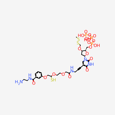 CSSCOC1C[C@H](n2cc(C#CCNC(=O)COCCOC(S)COc3cccc(C(=O)NCCN)c3)c(=O)[nH]c2=O)O[C@@H]1COP(=O)(O)OP(=O)(O)OP(=O)(O)O